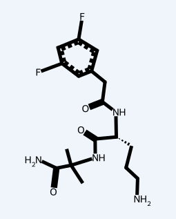 CC(C)(NC(=O)[C@@H](CCCN)NC(=O)Cc1cc(F)cc(F)c1)C(N)=O